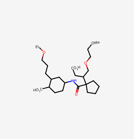 CCOCCCC1CC(NC(=O)C2(C(COCCOC)CC(=O)O)CCCC2)CCC1C(=O)O